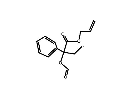 [CH2]CC(OC=O)(C(=O)OCC=C)c1ccccc1